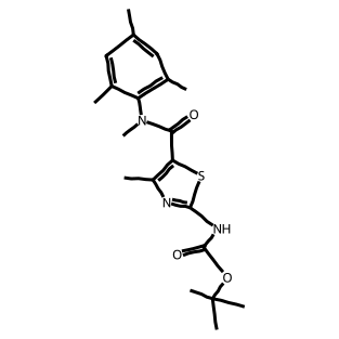 Cc1cc(C)c(N(C)C(=O)c2sc(NC(=O)OC(C)(C)C)nc2C)c(C)c1